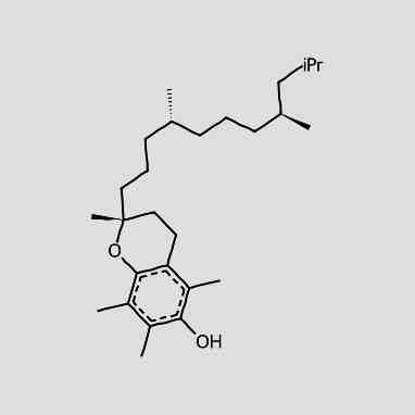 Cc1c(C)c2c(c(C)c1O)CC[C@@](C)(CCC[C@H](C)CCC[C@H](C)CC(C)C)O2